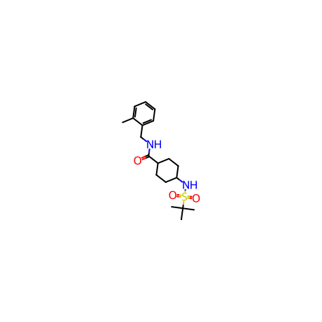 Cc1ccccc1CNC(=O)C1CCC(NS(=O)(=O)C(C)(C)C)CC1